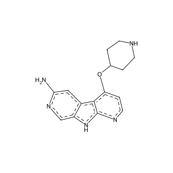 Nc1cc2c(cn1)[nH]c1nccc(OC3CCNCC3)c12